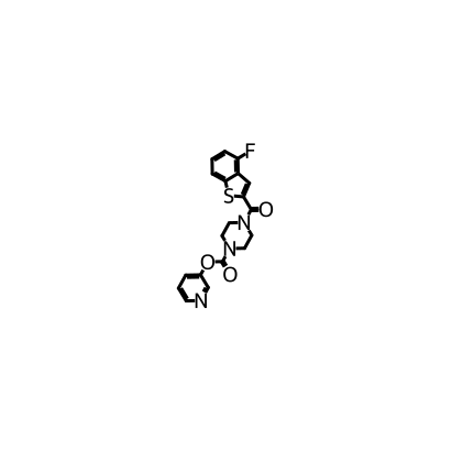 O=C(Oc1cccnc1)N1CCN(C(=O)c2cc3c(F)cccc3s2)CC1